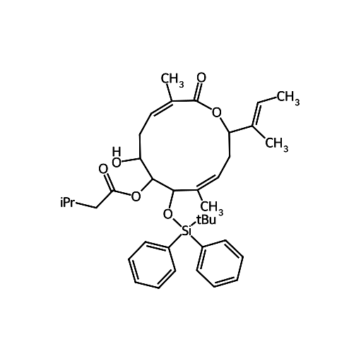 CC=C(C)C1CC=C(C)C(O[Si](c2ccccc2)(c2ccccc2)C(C)(C)C)C(OC(=O)CC(C)C)C(O)CC=C(C)C(=O)O1